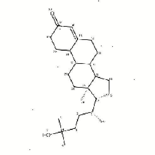 C[C@H](CCC(C)(C)O)[C@H]1CCC2C3CCC4=CC(=O)CCC4C3CC[C@@]21C